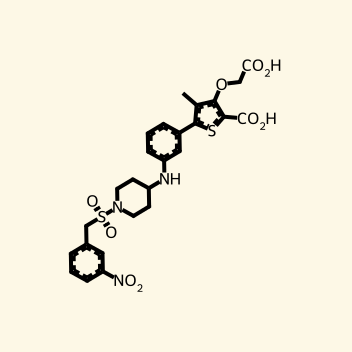 Cc1c(-c2cccc(NC3CCN(S(=O)(=O)Cc4cccc([N+](=O)[O-])c4)CC3)c2)sc(C(=O)O)c1OCC(=O)O